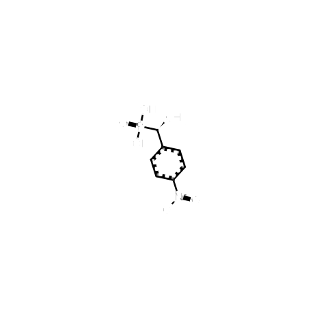 C[C@@H](c1ccc([N+](=O)[O-])cc1)P(=O)(O)O